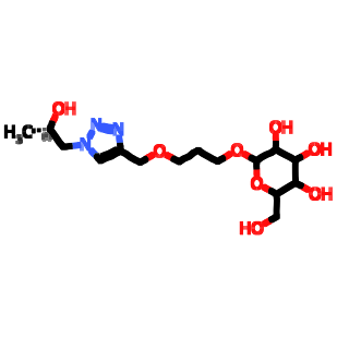 C[C@H](O)Cn1cc(COCCCOC2OC(CO)C(O)C(O)C2O)nn1